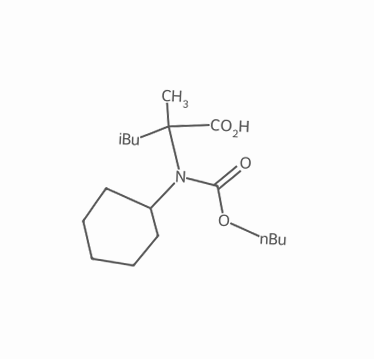 CCCCOC(=O)N(C1CCCCC1)C(C)(C(=O)O)C(C)CC